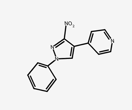 O=[N+]([O-])c1nn(-c2ccccc2)cc1-c1ccncc1